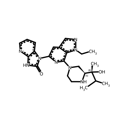 CCn1ncc2cc(-n3c(=O)[nH]c4ncccc43)nc(N3CCN[C@H]([C@](C)(O)C(C)C)C3)c21